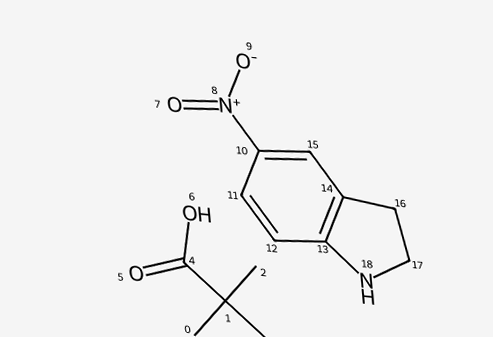 CC(C)(C)C(=O)O.O=[N+]([O-])c1ccc2c(c1)CCN2